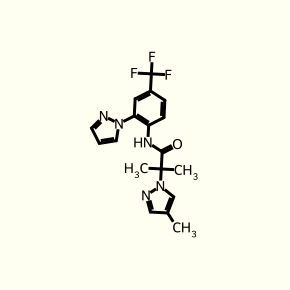 Cc1cnn(C(C)(C)C(=O)Nc2ccc(C(F)(F)F)cc2-n2cccn2)c1